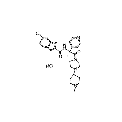 CN1CCC(N2CCN(C(=O)[C@@](C)(NC(=O)c3cc4ccc(Cl)cc4s3)c3ccncc3)CC2)CC1.Cl